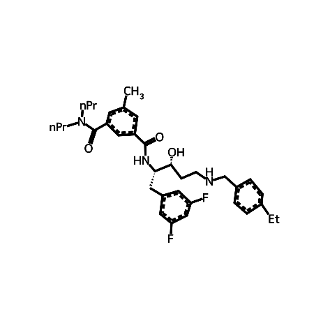 CCCN(CCC)C(=O)c1cc(C)cc(C(=O)N[C@@H](Cc2cc(F)cc(F)c2)[C@H](O)CCNCc2ccc(CC)cc2)c1